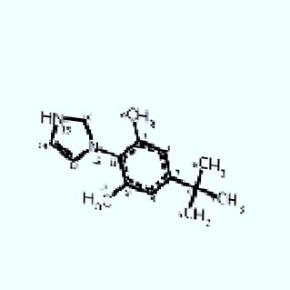 Cc1cc(C(C)(C)C)cc(C)c1N1C=CNC1